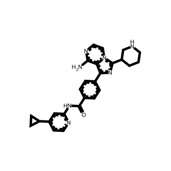 Nc1nccn2c(C3CCCNC3)nc(-c3ccc(C(=O)Nc4cc(C5CC5)ccn4)cc3)c12